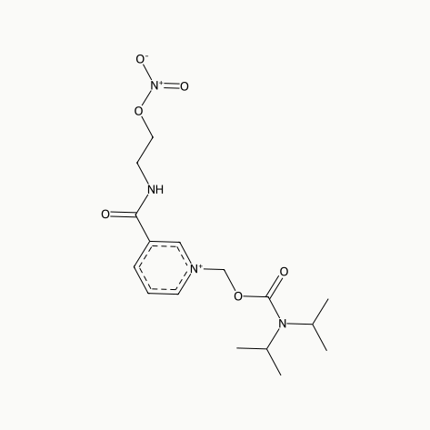 CC(C)N(C(=O)OC[n+]1cccc(C(=O)NCCO[N+](=O)[O-])c1)C(C)C